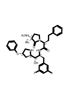 CC[C@@H](C)[C@@]1(NC(C)=O)CCN([C@@H](CCc2ccccc2)C(=O)N[C@@H](Cc2cc(F)cc(F)c2)[C@H](O)[C@H]2C[C@H](Oc3ccccc3)CN2)C1=O